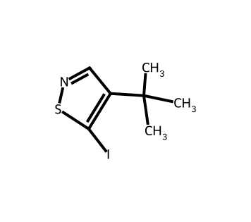 CC(C)(C)c1cnsc1I